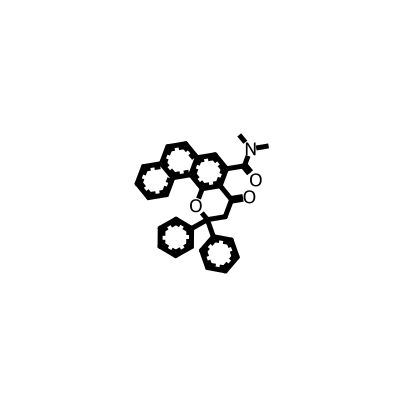 CN(C)C(=O)c1cc2ccc3ccccc3c2c2c1C(=O)CC(c1ccccc1)(c1ccccc1)O2